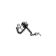 CCCCC/C=C\C/C=C\CCCCCCCCC1(CCCCCCCC/C=C\C/C=C\CCCCC)O[C@H]2CC[C@@H](N(C)C)C[C@@H]2O1